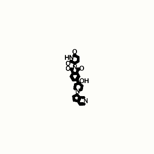 O=C1CCC(N2C(=O)c3ccc(C4(O)CCN(C5CCc6ccncc65)CC4)cc3C2=O)C(=O)N1